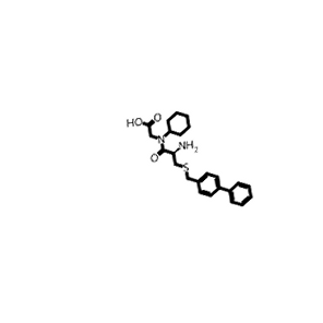 N[C@@H](CSCc1ccc(-c2ccccc2)cc1)C(=O)N(CC(=O)O)C1CCCCC1